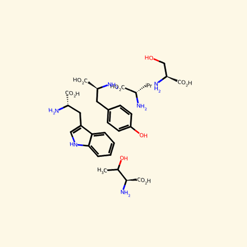 CC(C)[C@H](N)C(=O)O.CC(O)[C@H](N)C(=O)O.N[C@@H](CO)C(=O)O.N[C@@H](Cc1c[nH]c2ccccc12)C(=O)O.N[C@@H](Cc1ccc(O)cc1)C(=O)O